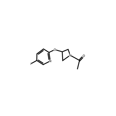 CC(=O)N1CC(Oc2ccc(I)cn2)C1